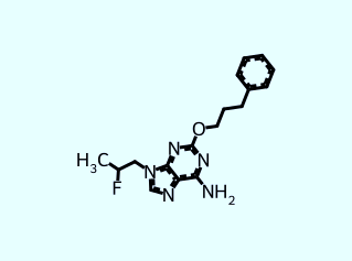 CC(F)Cn1cnc2c(N)nc(OCCCc3ccccc3)nc21